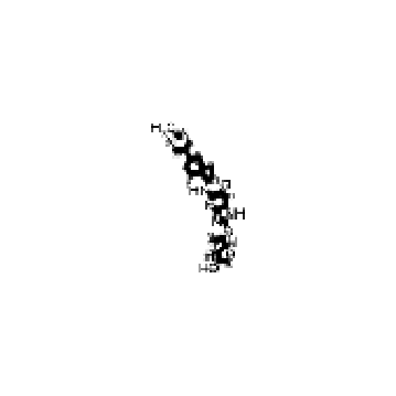 Cc1ncc(-c2cc(F)c3c(c2)CC[C@@H]3Nc2nc3nc(O[C@@H]4CO[C@H]5[C@@H]4OC[C@H]5O)[nH]c3cc2Cl)cn1